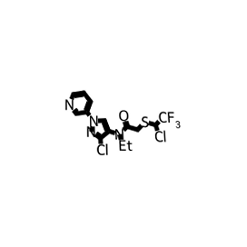 CCN(C(=O)CSC(Cl)C(F)(F)F)c1cn(-c2cccnc2)nc1Cl